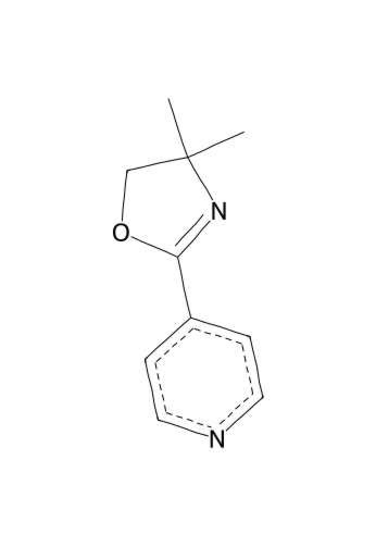 CC1(C)COC(c2ccncc2)=N1